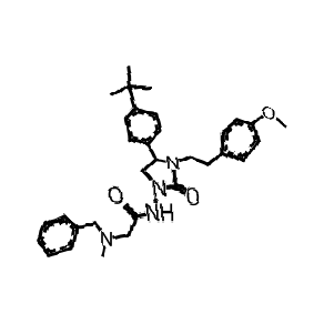 COc1ccc(CCN2C(=O)N(NC(=O)CN(C)Cc3ccccc3)CC2c2ccc(C(C)(C)C)cc2)cc1